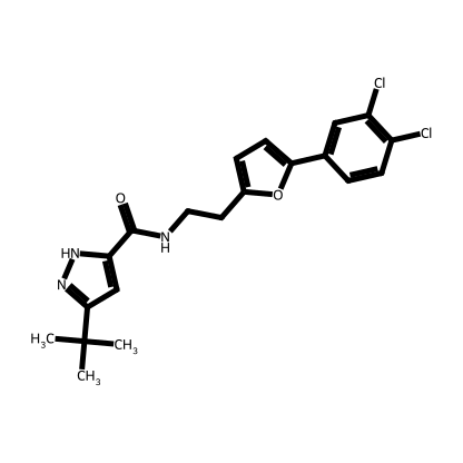 CC(C)(C)c1cc(C(=O)NCCc2ccc(-c3ccc(Cl)c(Cl)c3)o2)[nH]n1